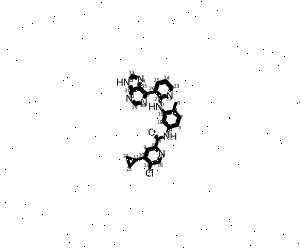 Cc1ccc(NC(=O)c2cc(C3CC3)c(Cl)cn2)cc1Nc1ncccc1-c1ncnc2[nH]cnc12